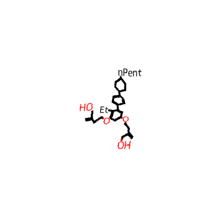 C=C(CO)CCOc1cc(OCCC(=C)CO)c(CC)c(-c2ccc(C3CCC(CCCCC)CC3)cc2)c1